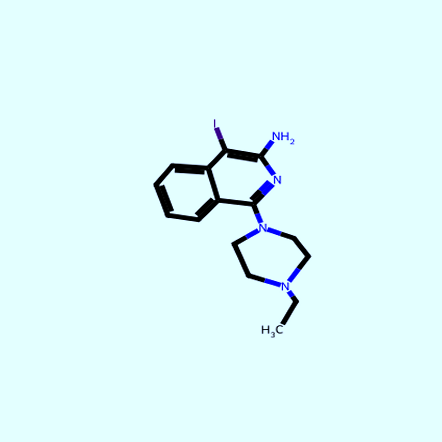 CCN1CCN(c2nc(N)c(I)c3ccccc23)CC1